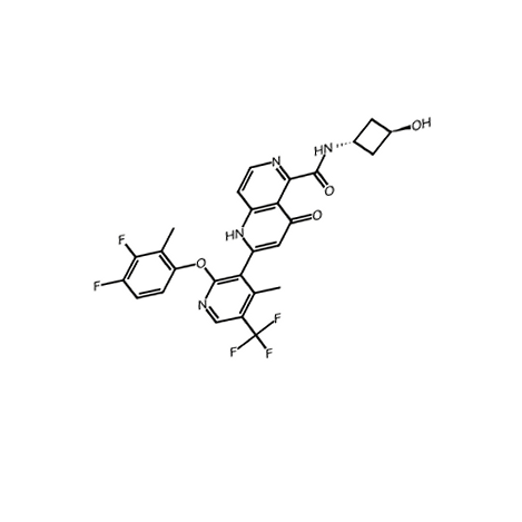 Cc1c(Oc2ncc(C(F)(F)F)c(C)c2-c2cc(=O)c3c(C(=O)N[C@H]4C[C@H](O)C4)nccc3[nH]2)ccc(F)c1F